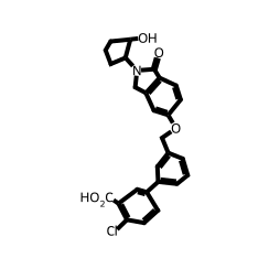 O=C(O)c1cc(-c2cccc(COc3ccc4c(c3)CN(C3CCCC3O)C4=O)c2)ccc1Cl